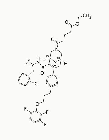 CCOC(=O)CCCC(=O)N1C[C@H]2CC(c3ccc(CCCOc4c(F)ccc(F)c4F)cc3)=C(C(=O)NC3(Cc4ccccc4Cl)CC3)[C@@H](C1)N2